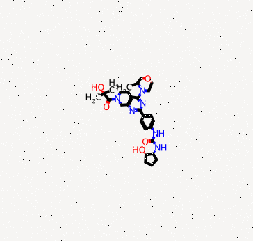 CC1COCCN1c1nc(-c2ccc(NC(=O)N[C@H]3CCC[C@@H]3O)cc2)nc2c1CCN(C(=O)C(C)(C)O)C2